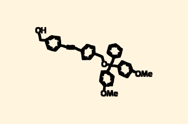 COc1ccc(C(OCc2ccc(C#Cc3ccc(CO)cc3)cc2)(c2ccccc2)c2ccc(OC)cc2)cc1